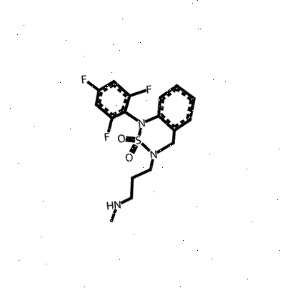 CNCCCN1Cc2ccccc2N(c2c(F)cc(F)cc2F)S1(=O)=O